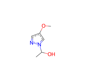 COc1cnn(C(C)O)c1